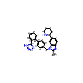 CCCc1nc2ccc(C3CCCCN3)cc2n1Cc1ccc(-c2ccccc2-c2nnn[nH]2)cc1